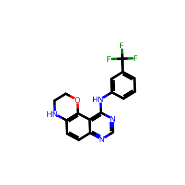 FC(F)(F)c1cccc(Nc2ncnc3ccc4c(c23)OCCN4)c1